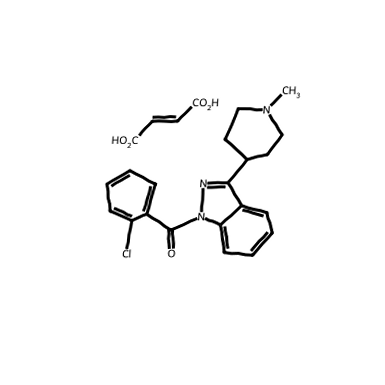 CN1CCC(c2nn(C(=O)c3ccccc3Cl)c3ccccc23)CC1.O=C(O)C=CC(=O)O